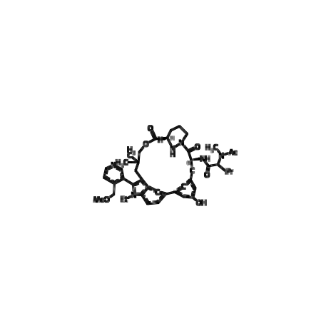 CCn1c(-c2cnccc2COC)c2c3cc(ccc31)-c1cc(O)cc(c1)C[C@H](NC(=O)C(C(C)C)N(C)C(C)=O)C(=O)N1CCC[C@H](N1)C(=O)OCC(C)(C)C2